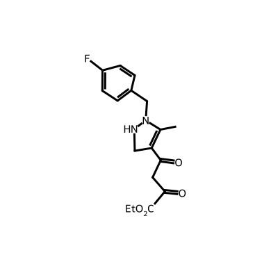 CCOC(=O)C(=O)CC(=O)C1=C(C)N(Cc2ccc(F)cc2)NC1